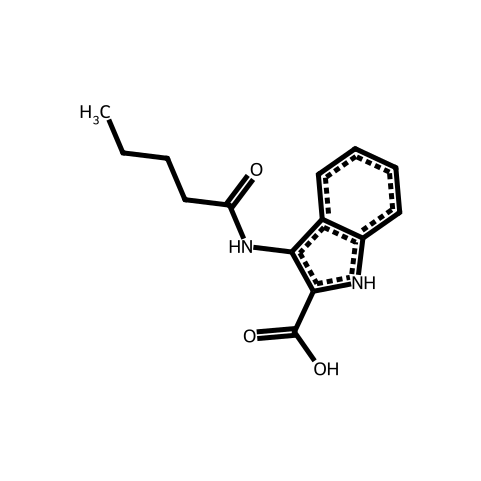 CCCCC(=O)Nc1c(C(=O)O)[nH]c2ccccc12